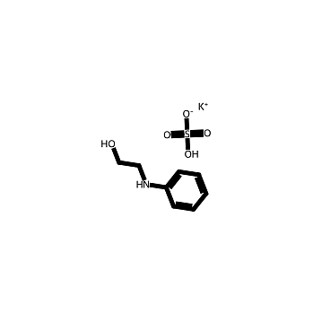 O=S(=O)([O-])O.OCCNc1ccccc1.[K+]